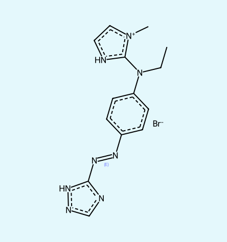 CCN(c1ccc(/N=N/c2ncn[nH]2)cc1)c1[nH]cc[n+]1C.[Br-]